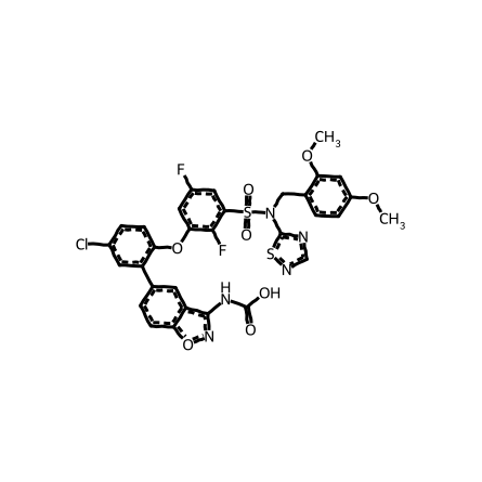 COc1ccc(CN(c2ncns2)S(=O)(=O)c2cc(F)cc(Oc3ccc(Cl)cc3-c3ccc4onc(NC(=O)O)c4c3)c2F)c(OC)c1